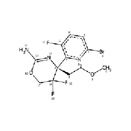 COCC[C@]1(c2nc(Br)ccc2F)N=C(N)OCC1(F)F